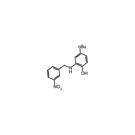 CCCCc1ccc(O)c(NCc2cccc([N+](=O)[O-])c2)c1